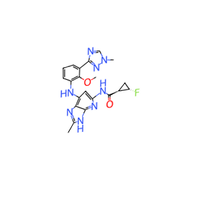 COc1c(Nc2cc(NC(=O)[C@H]3C[C@@H]3F)nc3[nH]c(C)nc23)cccc1-c1ncn(C)n1